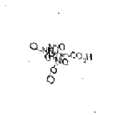 CN1CC(=O)C2[C@@H](CCC(=O)O)C(=O)N(CCOCc3ccccc3)C[C@@H]2N1C(=O)NCc1ccccc1